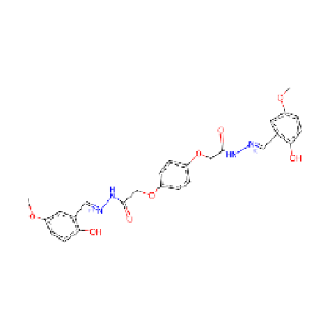 COc1ccc(O)c(/C=N/NC(=O)COc2ccc(OCC(=O)N/N=C/c3cc(OC)ccc3O)cc2)c1